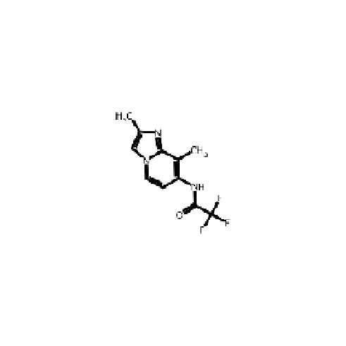 Cc1cn2ccc(NC(=O)C(F)(F)F)c(C)c2n1